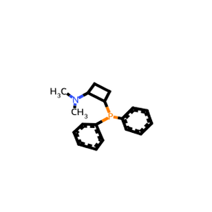 CN(C)C1CCC1P(c1ccccc1)c1ccccc1